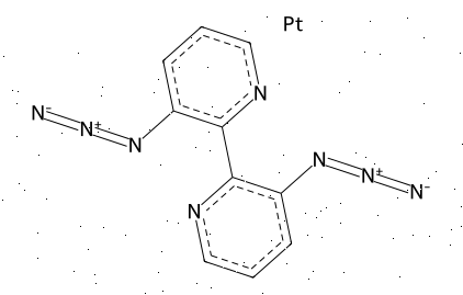 [N-]=[N+]=Nc1cccnc1-c1ncccc1N=[N+]=[N-].[Pt]